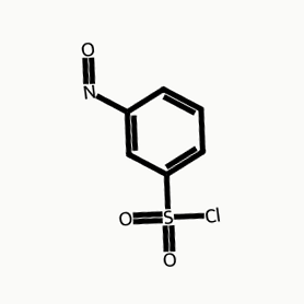 O=Nc1cccc(S(=O)(=O)Cl)c1